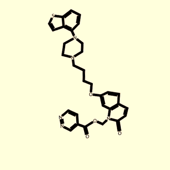 O=C(OCn1c(=O)ccc2ccc(OCCCCN3CCN(c4cccc5sccc45)CC3)cc21)c1ccnnc1